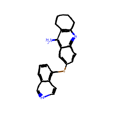 Nc1c2c(nc3ccc(Sc4cccc5cnccc45)cc13)CCCC2